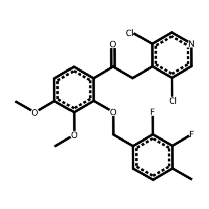 COc1ccc(C(=O)Cc2c(Cl)cncc2Cl)c(OCc2ccc(C)c(F)c2F)c1OC